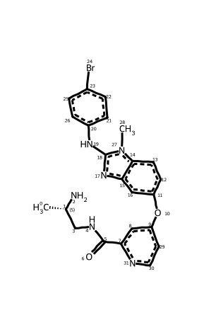 C[C@H](N)CNC(=O)c1cc(Oc2ccc3c(c2)nc(Nc2ccc(Br)cc2)n3C)ccn1